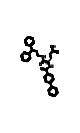 O=C(O)CC[C@H](NC(=O)c1ccc(-c2ccccc2)cc1)C(=O)NCCC(c1ccccc1)c1ccccc1